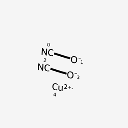 N#C[O-].N#C[O-].[Cu+2]